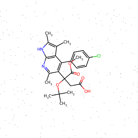 COC(=O)C(CC(=O)O)(OC(C)(C)C)c1c(C)nc2[nH]c(C)c(C)c2c1-c1ccc(Cl)cc1